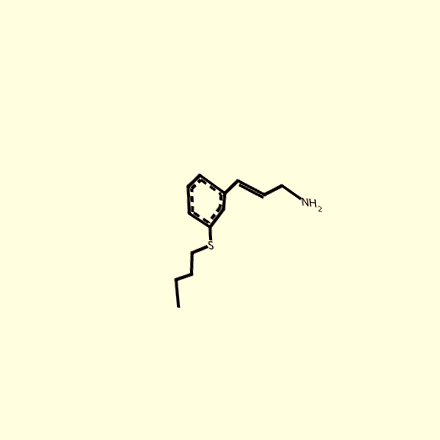 CCCCSc1cccc(C=CCN)c1